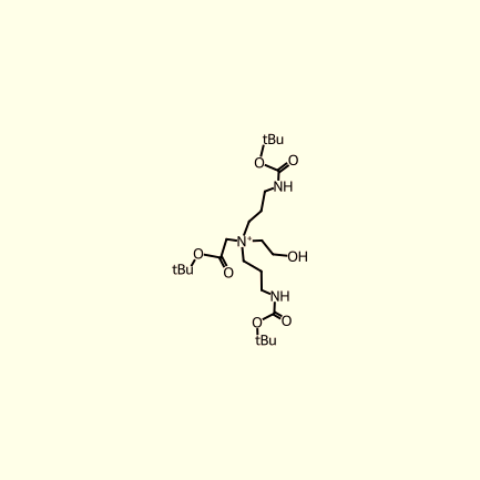 CC(C)(C)OC(=O)C[N+](CCO)(CCCNC(=O)OC(C)(C)C)CCCNC(=O)OC(C)(C)C